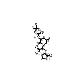 COC(=O)[C@H](C[C@@H]1CCNC1=O)N1CC(C)C[C@H](NC(=O)OC(C)(C)C)C1=O